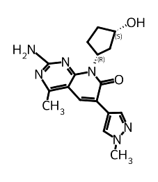 Cc1nc(N)nc2c1cc(-c1cnn(C)c1)c(=O)n2[C@@H]1CC[C@H](O)C1